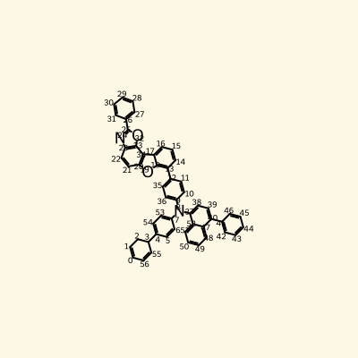 C1=CCC(c2ccc(N(c3ccc(-c4cccc5c4oc4ccc6nc(-c7ccccc7)oc6c45)cc3)c3ccc(-c4ccccc4)c4ccccc34)cc2)C=C1